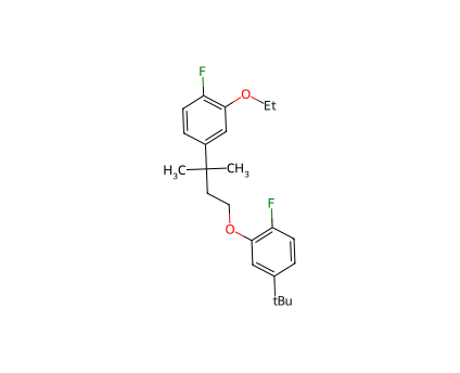 CCOc1cc(C(C)(C)CCOc2cc(C(C)(C)C)ccc2F)ccc1F